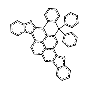 c1ccc(C2(c3ccccc3)c3ccccc3-c3c4sc5ccccc5c4c4ccc5cc6c7ccccc7sc6c6cc2c3c4c56)cc1